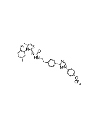 Cc1ccc(C(C)C)c(-n2c(C)cs/c2=N\C(=O)NCCc2ccc(-c3ncn(-c4ccc(OC(F)(F)F)cc4)n3)cc2)c1